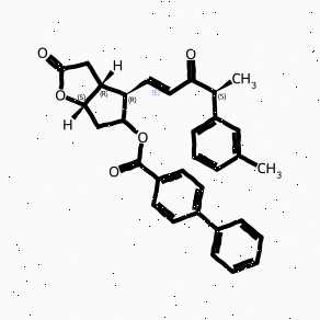 Cc1cccc([C@H](C)C(=O)/C=C/[C@H]2C(OC(=O)c3ccc(-c4ccccc4)cc3)C[C@@H]3OC(=O)C[C@@H]32)c1